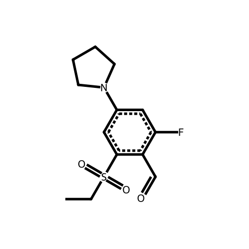 CCS(=O)(=O)c1cc(N2CCCC2)cc(F)c1C=O